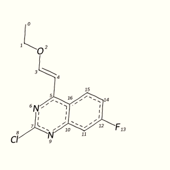 CCOC=Cc1nc(Cl)nc2cc(F)ccc12